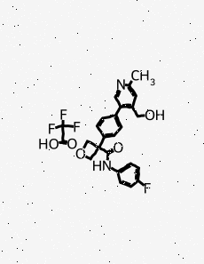 Cc1cc(CO)c(-c2ccc(C3(C(=O)Nc4ccc(F)cc4)COC3)cc2)cn1.O=C(O)C(F)(F)F